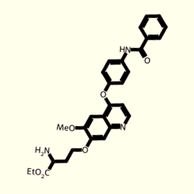 CCOC(=O)C(N)CCOc1cc2nccc(Oc3ccc(NC(=O)c4ccccc4)cc3)c2cc1OC